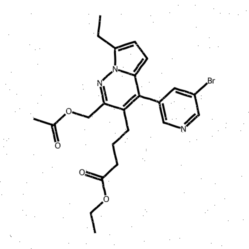 CCOC(=O)CCCc1c(COC(C)=O)nn2c(CC)ccc2c1-c1cncc(Br)c1